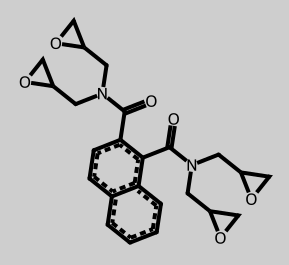 O=C(c1ccc2ccccc2c1C(=O)N(CC1CO1)CC1CO1)N(CC1CO1)CC1CO1